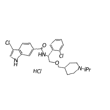 CC(C)N1CCC(COCC(NC(=O)c2ccc3c(Cl)c[nH]c3c2)c2ccccc2Cl)CC1.Cl